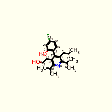 CCCc1c(C(C)C)nc(C(C)C)c(CCO)c1-c1ccc(F)cc1O